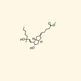 CCCCCC(C)(O)C=C[C@H]1[C@@H]2CC(=CCCCC(=O)OC)C[C@H]2C[C@@H]1O